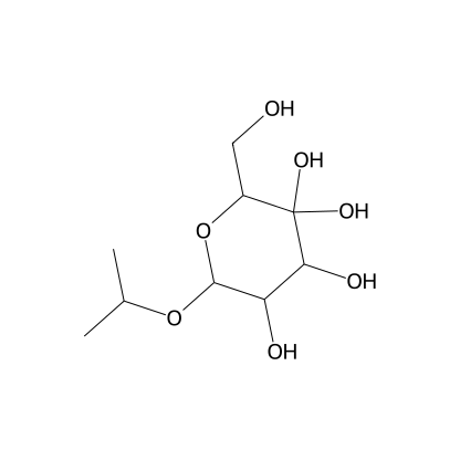 CC(C)OC1OC(CO)C(O)(O)C(O)C1O